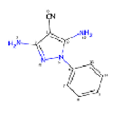 N#Cc1c(N)nn(-c2ccccc2)c1N